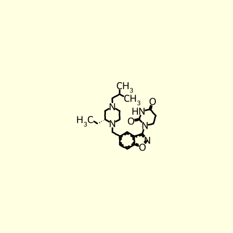 CC[C@@H]1CN(CC(C)C)CCN1Cc1ccc2onc(N3CCC(=O)NC3=O)c2c1